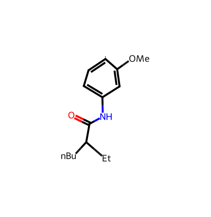 CCCCC(CC)C(=O)Nc1cc[c]c(OC)c1